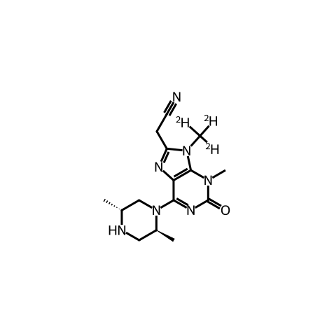 [2H]C([2H])([2H])n1c(CC#N)nc2c(N3C[C@@H](C)NC[C@@H]3C)nc(=O)n(C)c21